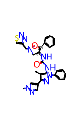 Cc1c(-c2cnn(C)c2)nn(-c2ccccc2)c1NC(=O)N[C@@H]1CN(Cc2csnn2)O[C@H]1c1ccccc1